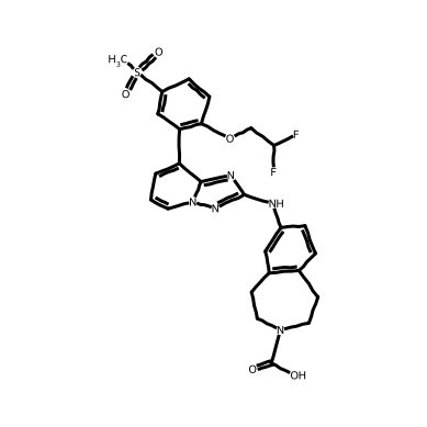 CS(=O)(=O)c1ccc(OCC(F)F)c(-c2cccn3nc(Nc4ccc5c(c4)CCN(C(=O)O)CC5)nc23)c1